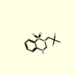 O=S1(=O)c2ccccc2NCN1CC(F)(F)F